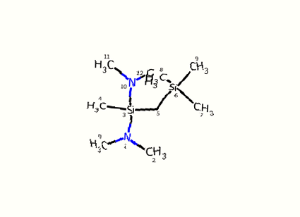 CN(C)[Si](C)(C[Si](C)(C)C)N(C)C